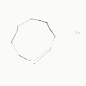 O[C@@H]1/C=C\CCCCC1